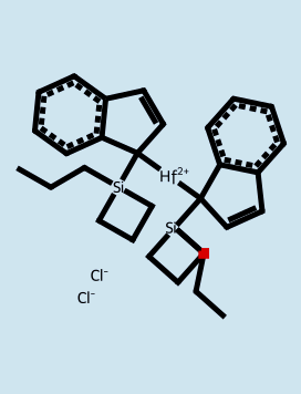 CCC[Si]1([C]2([Hf+2][C]3([Si]4(CCC)CCC4)C=Cc4ccccc43)C=Cc3ccccc32)CCC1.[Cl-].[Cl-]